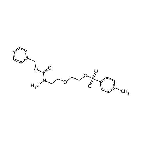 Cc1ccc(S(=O)(=O)OCCOCCN(C)C(=O)OCc2ccccc2)cc1